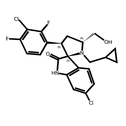 O=C1Nc2cc(Cl)ccc2[C@@]12[C@@H](c1ccc(F)c(Cl)c1F)C[C@H](CO)N2CC1CC1